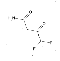 NC(=O)CC(=O)C(F)F